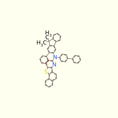 CC1(C)c2ccccc2-c2cc(N(c3ccc(-c4ccccc4)cc3)c3ccc4sc5c6ccccc6ccc5c4n3)c(-c3ccccc3)cc21